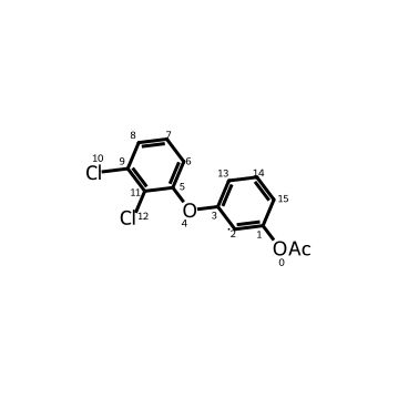 CC(=O)Oc1[c]c(Oc2cccc(Cl)c2Cl)ccc1